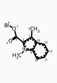 Cc1c(C(=O)OBr)n(C)c2ccccc12